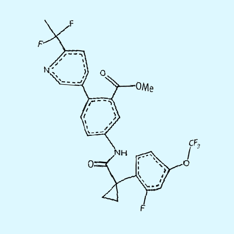 COC(=O)c1cc(NC(=O)C2(c3ccc(OC(F)(F)F)cc3F)CC2)ccc1-c1ccc(C(C)(F)F)nc1